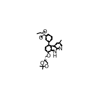 CCS(=O)(=O)c1cccc(-c2ccc(OC[C@@H]3COC(C)(C)O3)c3[nH]c4ncc(C)cc4c23)c1